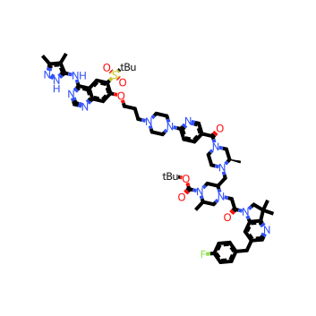 Cc1n[nH]c(Nc2ncnc3cc(OCCCN4CCN(c5ccc(C(=O)N6CCN(CC7CN(C(=O)OC(C)(C)C)C(C)CN7CC(=O)N7CC(C)(C)c8ncc(Cc9ccc(F)cc9)cc87)[C@H](C)C6)cn5)CC4)c(S(=O)(=O)C(C)(C)C)cc23)c1C